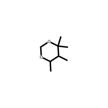 CC1OCOC(C)(C)C1C